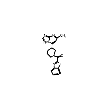 Cc1cc([C@H]2CCCN(C(=O)c3nc4ccccc4o3)C2)n2ncnc2n1